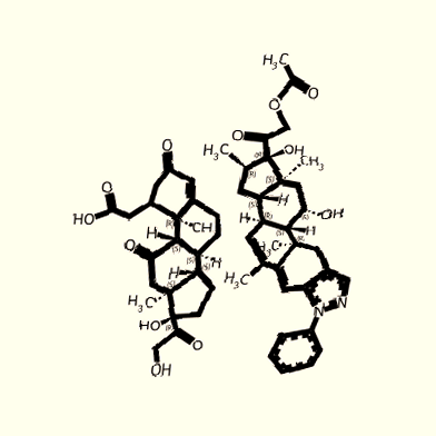 CC(=O)OCC(=O)[C@@]1(O)[C@H](C)C[C@H]2[C@@H]3C=C(C)C4=Cc5c(cnn5-c5ccccc5)C[C@]4(C)[C@H]3[C@@H](O)C[C@@]21C.C[C@]12CC(=O)[C@H]3[C@@H](CCC4=CC(=O)CC(CC(=O)O)[C@@]43C)[C@@H]1CC[C@]2(O)C(=O)CO